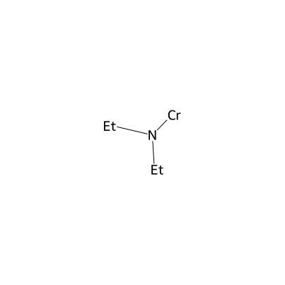 CC[N]([Cr])CC